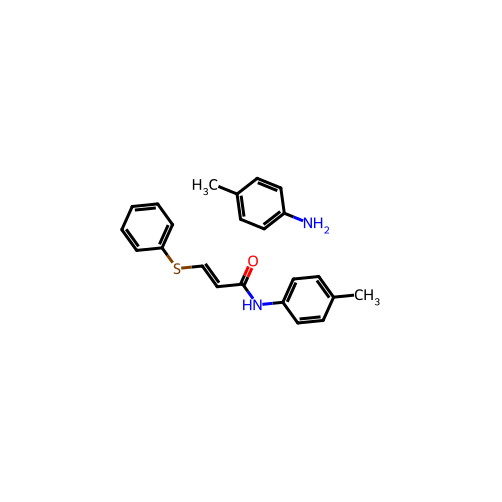 Cc1ccc(N)cc1.Cc1ccc(NC(=O)C=CSc2ccccc2)cc1